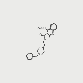 COc1c2c(nc3ccccc13)CN(CCN1CCN(Cc3ccccc3)CC1)C2=O